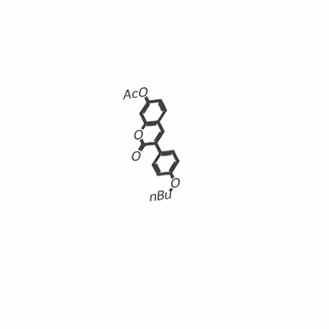 CCCCOc1ccc(-c2cc3ccc(OC(C)=O)cc3oc2=O)cc1